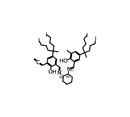 C=C=Cc1cc(C(C)(CCCI)CCCI)cc(/C=N/[C@H]2CCCC[C@@H]2/N=C/c2cc(C(C)(CCCI)CCCI)cc(C)c2O)c1O